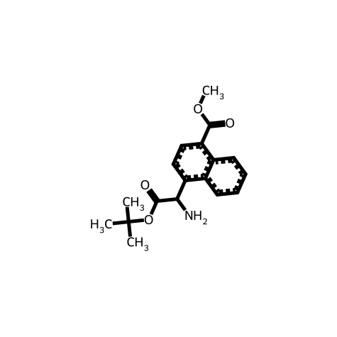 COC(=O)c1ccc(C(N)C(=O)OC(C)(C)C)c2ccccc12